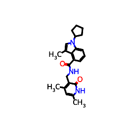 Cc1cc(C)c(CNC(=O)c2cccc3c2c(C)cn3C2CCCC2)c(=O)[nH]1